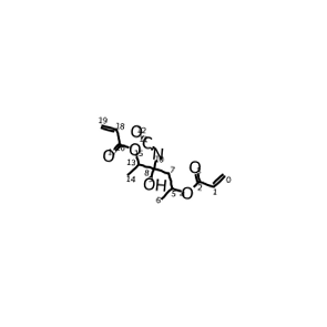 C=CC(=O)OC(C)CC(O)(N=C=O)C(C)OC(=O)C=C